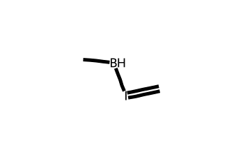 C=IBC